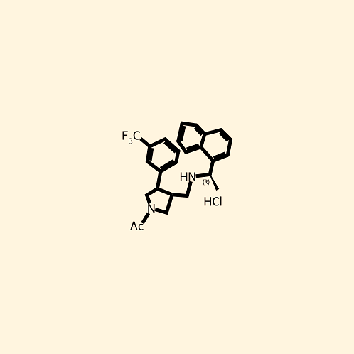 CC(=O)N1CC(CN[C@H](C)c2cccc3ccccc23)C(c2cccc(C(F)(F)F)c2)C1.Cl